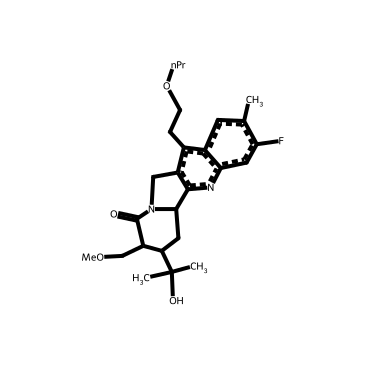 CCCOCCc1c2c(nc3cc(F)c(C)cc13)C1CC(C(C)(C)O)C(COC)C(=O)N1C2